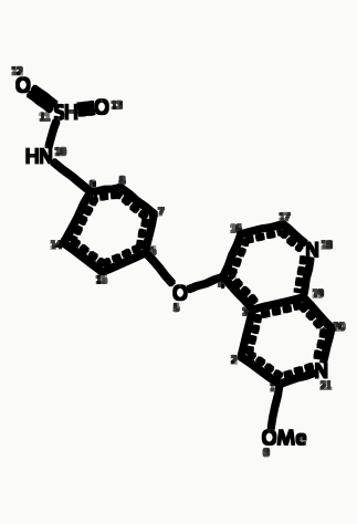 COc1cc2c(Oc3ccc(N[SH](=O)=O)cc3)ccnc2cn1